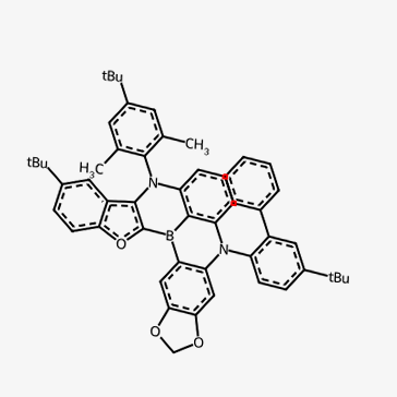 Cc1cc(C(C)(C)C)cc(C)c1N1c2cccc3c2B(c2cc4c(cc2N3c2ccc(C(C)(C)C)cc2-c2ccccc2)OCO4)c2oc3ccc(C(C)(C)C)cc3c21